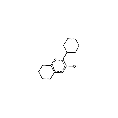 Oc1cc2c(cc1C1CCCCC1)CCCC2